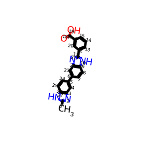 Cc1nc2cc(-c3ccc4[nH]c(-c5cccc(C(=O)O)c5)nc4c3)ccc2[nH]1